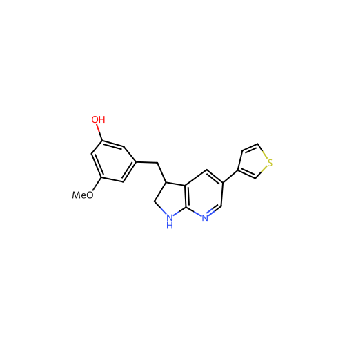 COc1cc(O)cc(CC2CNc3ncc(-c4ccsc4)cc32)c1